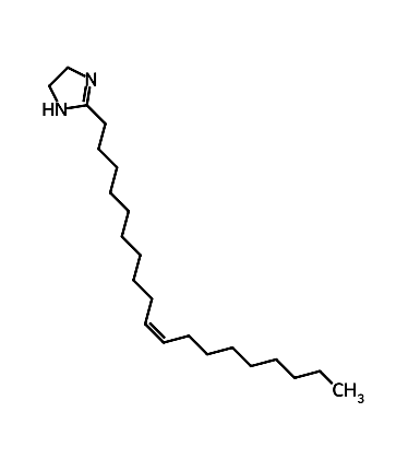 CCCCCCCC/C=C\CCCCCCCCCC1=NCCN1